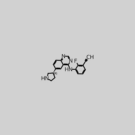 C#Cc1cccc(Nc2ncnc3ccc([C@H]4CCNC4)cc23)c1F